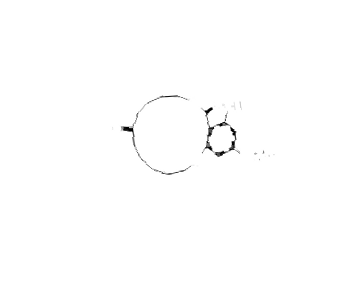 COc1cc(O)c2c(c1)OCCCCCC(=O)CCCCOC2=O